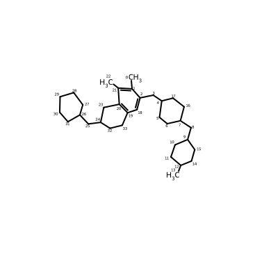 Cc1c(CC2CCC(CC3CCC(C)CC3)CC2)cc2c(c1C)CC(CC1CCCCC1)CC2